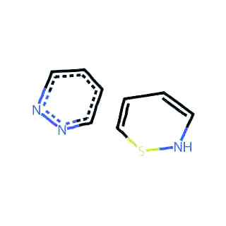 C1=CNSC=C1.c1ccnnc1